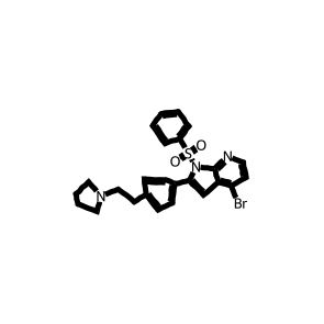 O=S(=O)(c1ccccc1)n1c(-c2ccc(CCN3CCCC3)cc2)cc2c(Br)ccnc21